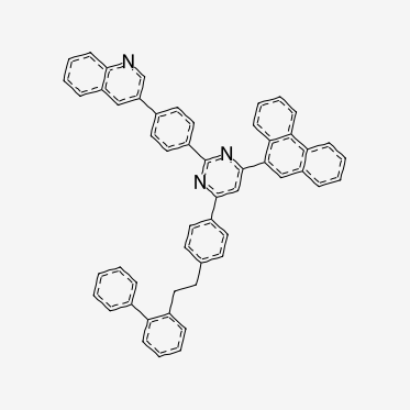 c1ccc(-c2ccccc2CCc2ccc(-c3cc(-c4cc5ccccc5c5ccccc45)nc(-c4ccc(-c5cnc6ccccc6c5)cc4)n3)cc2)cc1